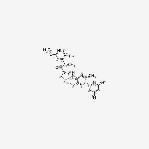 [2H]c1cc([2H])nc(-c2cc3c(nc2C)N[C@@]2(CC3)CCN(C(=O)C(C)c3cc(OC)ncc3F)C2)n1